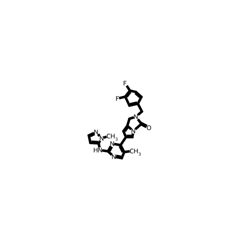 Cc1cnc(Nc2ccnn2C)nc1-c1cc2n(c1)C(=O)N(Cc1ccc(F)c(F)c1)C2